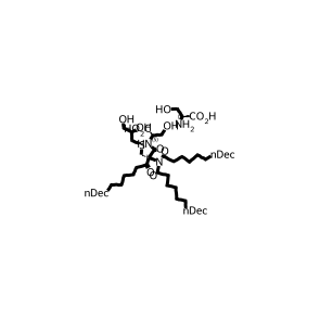 CCCCCCCCCCCCCCCC(=O)N(C(=O)CCCCCCCCCCCCCCC)[C@@](CSCC(O)CO)(C(=O)CCCCCCCCCCCCCCC)C(=O)N[C@@H](CO)C(=O)O.N[C@@H](CO)C(=O)O